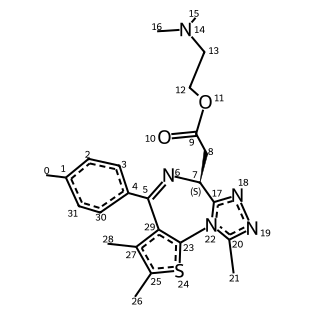 Cc1ccc(C2=N[C@@H](CC(=O)OCCN(C)C)c3nnc(C)n3-c3sc(C)c(C)c32)cc1